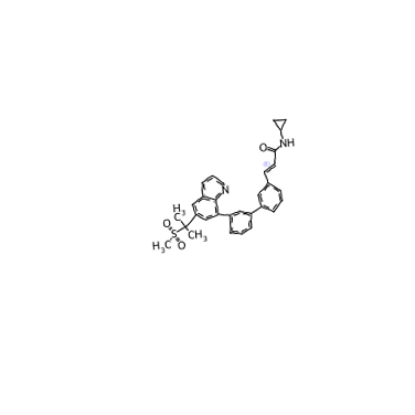 CC(C)(c1cc(-c2cccc(-c3cccc(/C=C/C(=O)NC4CC4)c3)c2)c2ncccc2c1)S(C)(=O)=O